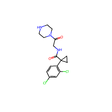 O=C(CNC(=O)C1(c2ccc(Cl)cc2Cl)CC1)N1CCNCC1